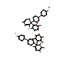 CC(=O)Sc1ccc(-c2ccc(C3(c4c(F)c(F)c(Sc5c(F)c(F)c(C6(c7ccc(-c8ccc(SC(C)=O)cc8)cc7)C(F)=C(F)C(F)=C(F)C6F)c(F)c5F)c(F)c4F)C(F)=C(F)C(F)=C(F)C3F)cc2)cc1